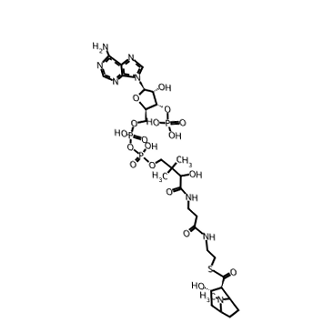 CN1C2CCC1[C@H](C(=O)SCCNC(=O)CCNC(=O)C(O)C(C)(C)COP(=O)(O)OP(=O)(O)OC[C@H]1O[C@@H](n3cnc4c(N)ncnc43)[C@H](O)[C@@H]1OP(=O)(O)O)[C@@H](O)C2